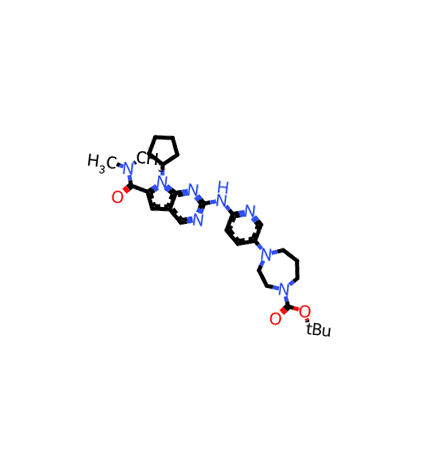 CN(C)C(=O)c1cc2cnc(Nc3ccc(N4CCCN(C(=O)OC(C)(C)C)CC4)cn3)nc2n1C1CCCC1